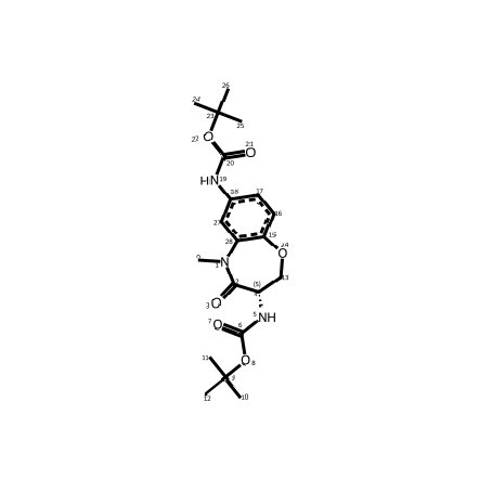 CN1C(=O)[C@@H](NC(=O)OC(C)(C)C)COc2ccc(NC(=O)OC(C)(C)C)cc21